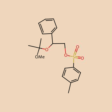 COC(C)(C)OC(COS(=O)(=O)c1ccc(C)cc1)c1ccccc1